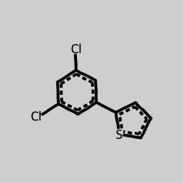 Clc1cc(Cl)cc(-c2cccs2)c1